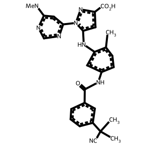 CNc1cc(-n2nc(C(=O)O)cc2Nc2cc(NC(=O)c3cccc(C(C)(C)C#N)c3)ccc2C)ncn1